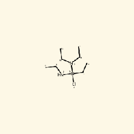 CCN[Si](Cl)(CC)N(CC)CC